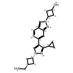 NC[C@H]1C[C@H](n2cc(-c3cc4nn(C5CC(O)C5)cc4cn3)c(C3CC3)n2)C1